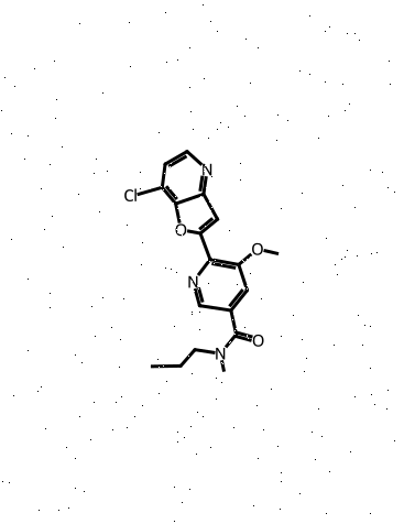 CCCN(C)C(=O)c1cnc(-c2cc3nccc(Cl)c3o2)c(OC)c1